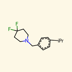 CC(C)c1ccc(CN2CCC(F)(F)CC2)cc1